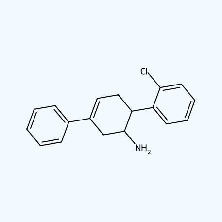 NC1CC(c2ccccc2)=CCC1c1ccccc1Cl